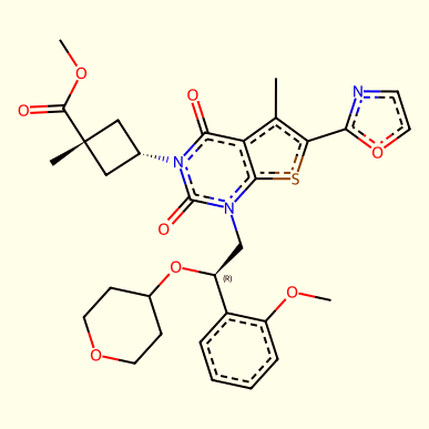 COc1ccccc1[C@H](Cn1c(=O)n([C@H]2C[C@@](C)(C(=O)OC)C2)c(=O)c2c(C)c(-c3ncco3)sc21)OC1CCOCC1